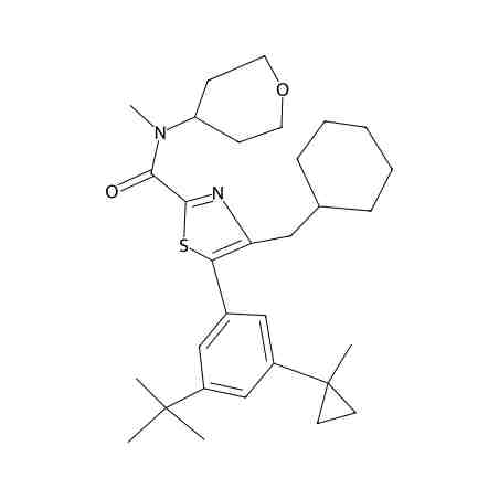 CN(C(=O)c1nc(CC2CCCCC2)c(-c2cc(C(C)(C)C)cc(C3(C)CC3)c2)s1)C1CCOCC1